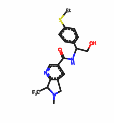 CCSc1ccc(C(CO)NC(=O)c2cnc3c(c2)CN(C)C3C(F)(F)F)cc1